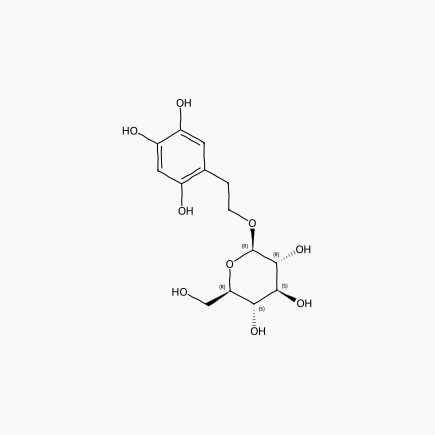 OC[C@H]1O[C@@H](OCCc2cc(O)c(O)cc2O)[C@H](O)[C@@H](O)[C@@H]1O